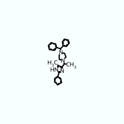 Cc1[nH]c(-c2ccccc2)nc1C(C)N1CCN(C(c2ccccc2)c2ccccc2)CC1